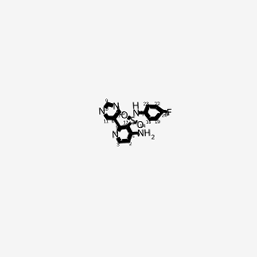 Nc1ccnc(-c2cncnc2)c1S(=O)(=O)Nc1ccc(F)cc1